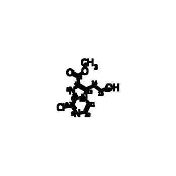 COC(=O)c1nc2c(Cl)nccn2c1CCO